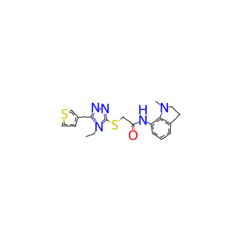 CCn1c(SCC(=O)Nc2cccc3c2N(C)CC3)nnc1-c1ccsc1